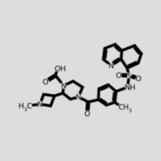 Cc1cc(C(=O)N2CCN(C(=O)O)C(C3CN(C)C3)C2)ccc1NS(=O)(=O)c1cccc2cccnc12